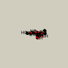 CC(C)c1ccccc1[C@@H]1CCCN1C1CC2(CCN(c3ccc(C(=O)NS(=O)(=O)c4cc5c(c([N+](=O)[O-])c4)N[C@@H]([C@H]4CC[C@](C)(O)CC4)CO5)c(Oc4cc5cc[nH]c5nc4OCCN4CC(O)C4)c3)CC2)C1